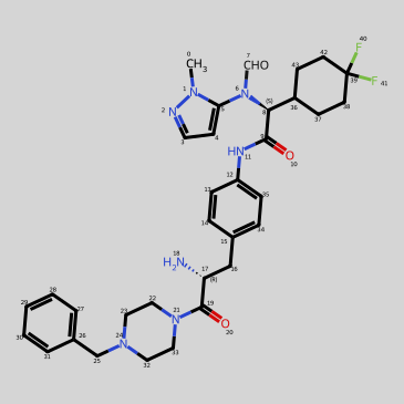 Cn1nccc1N(C=O)[C@H](C(=O)Nc1ccc(C[C@@H](N)C(=O)N2CCN(Cc3ccccc3)CC2)cc1)C1CCC(F)(F)CC1